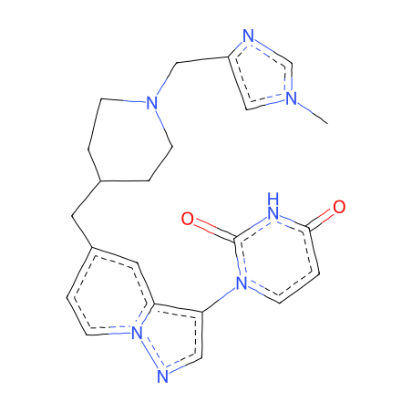 Cn1cnc(CN2CCC(Cc3ccn4ncc(-n5ccc(=O)[nH]c5=O)c4c3)CC2)c1